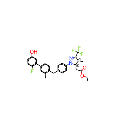 CCOC(=O)C[C@H]1[C@H](C)C(C(F)(F)F)=NN1c1ccc(Cc2ccc(-c3cc(O)ccc3F)cc2C)cc1